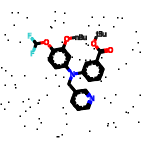 CCCCOc1cc(N(Cc2cccnc2)c2cccc(C(=O)OC(C)(C)C)c2)ccc1OC(F)F